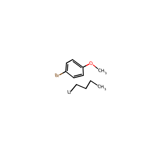 COc1ccc(Br)cc1.[Li][CH2]CCC